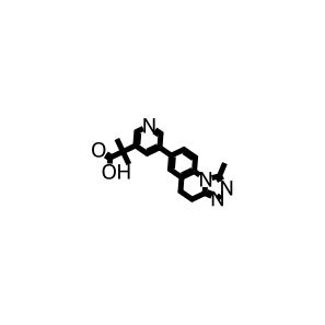 Cc1nnc2n1-c1ccc(-c3cncc(C(C)(C)C(=O)O)c3)cc1CC2